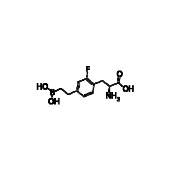 N[C@@H](Cc1ccc(CCB(O)O)cc1F)C(=O)O